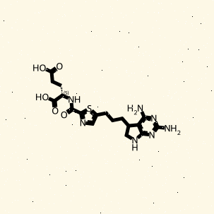 Nc1nc(N)c2c(n1)NCC2CCCc1cnc(C(=O)N[C@@H](CCC(=O)O)C(=O)O)s1